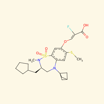 CSc1cc2c(cc1O/C=C(\F)C(=O)O)S(=O)(=O)N(C)[C@H](CC1CCCC1)CN2C12CC(C1)C2